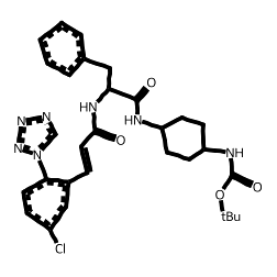 CC(C)(C)OC(=O)NC1CCC(NC(=O)C(Cc2ccccc2)NC(=O)C=Cc2cc(Cl)ccc2-n2cnnn2)CC1